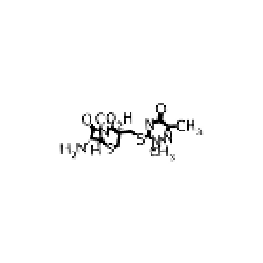 Cc1nn(C)c(SCC2=C(C(=O)O)N3C(=O)[C@@H](N)[C@H]3SC2)nc1=O